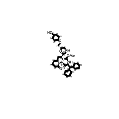 COC(=O)NC(C(=O)Nn1c(CC[C@@H]2CNC[C@@H](COc3ccc(C#N)cc3)O2)cccc1=O)C(c1ccccc1)c1ccccc1